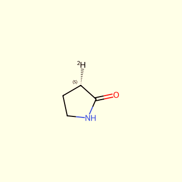 [2H][C@H]1CCNC1=O